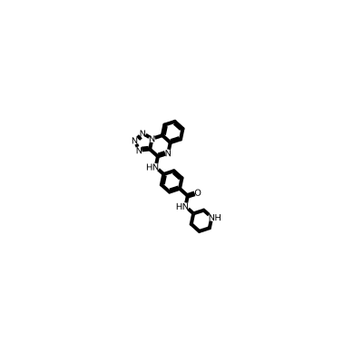 O=C(NC1CCCNC1)c1ccc(Nc2nc3ccccc3n3nnnc23)cc1